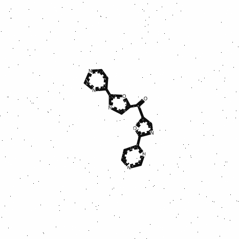 O=C(c1cnc(-c2ccncn2)o1)c1cnc(-c2ccncn2)o1